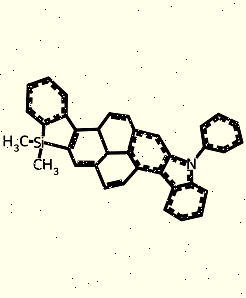 C[Si]1(C)C2=C(c3ccccc31)C1C=Cc3cc4c(c5c3C1C(=C2)C=C5)c1ccccc1n4-c1ccccc1